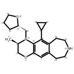 C[C@@H]1COc2cc3c(c(C4CC4)c2N1C[C@@H]1CCCO1)CCNCC3